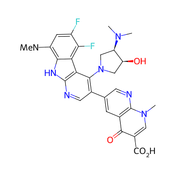 CNc1cc(F)c(F)c2c1[nH]c1ncc(-c3cnc4c(c3)c(=O)c(C(=O)O)cn4C)c(N3C[C@@H](N(C)C)[C@@H](O)C3)c12